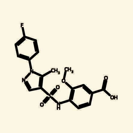 COc1cc(C(=O)O)ccc1NS(=O)(=O)c1cnn(-c2ccc(F)cc2)c1C